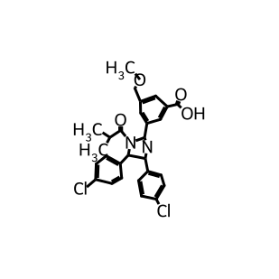 COCc1cc(C(=O)O)cc(C2=NC(c3ccc(Cl)cc3)C(c3ccc(Cl)cc3)N2C(=O)C(C)C)c1